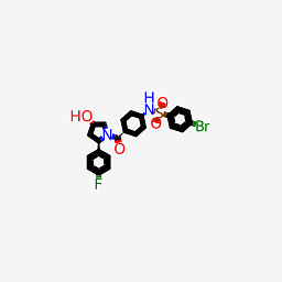 O=C([C@H]1CC[C@H](NS(=O)(=O)c2ccc(Br)cc2)CC1)N1CC(O)C[C@@H]1c1ccc(F)cc1